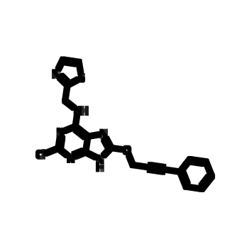 Clc1nc(NCc2nccs2)c2nc(OCC#Cc3ccccc3)[nH]c2n1